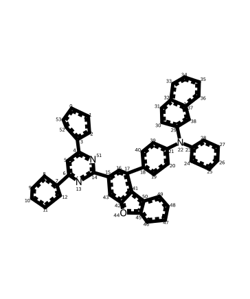 c1ccc(-c2cc(-c3ccccc3)nc(-c3cc(-c4ccc(N(c5ccccc5)c5ccc6ccccc6c5)cc4)c4c(c3)oc3ccccc34)n2)cc1